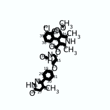 COC(=O)C1=C(C)NC(C)=C(C(=O)OC(C=COc2ccc(C3=NNC(=O)CC3C)cc2)NC=O)C1c1cccc(Cl)c1Cl